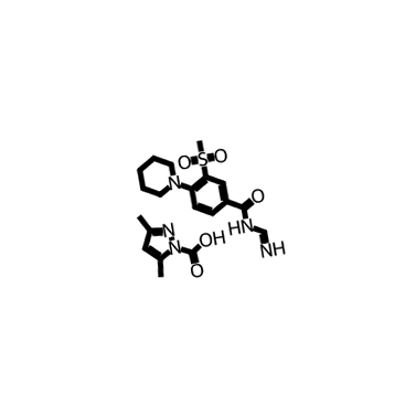 CS(=O)(=O)c1cc(C(=O)NC=N)ccc1N1CCCCC1.Cc1cc(C)n(C(=O)O)n1